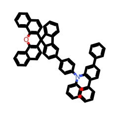 c1ccc(-c2ccc(-c3ccccc3)c(N(c3ccccc3)c3ccc(-c4ccc5c(c4)-c4ccccc4C54c5ccc6ccccc6c5Oc5c4ccc4ccccc54)cc3)c2)cc1